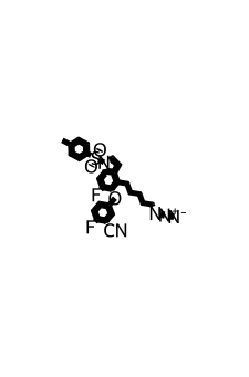 Cc1ccc(S(=O)(=O)n2ccc3c(CCCCCN=[N+]=[N-])c(Oc4ccc(F)c(C#N)c4)c(F)cc32)cc1